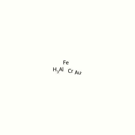 [AlH3].[Au].[Cr].[Fe]